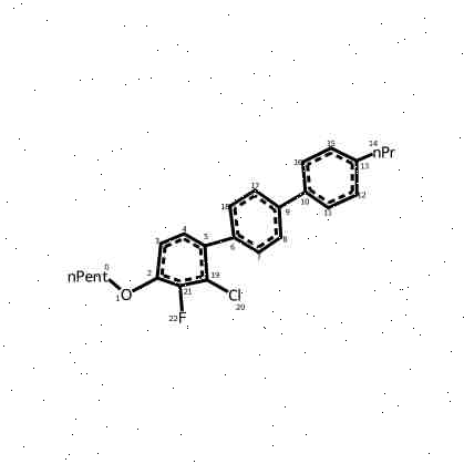 CCCCCOc1ccc(-c2ccc(-c3ccc(CCC)cc3)cc2)c(Cl)c1F